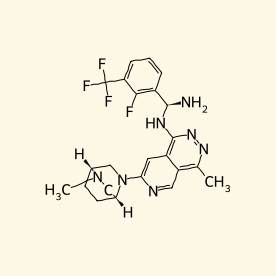 Cc1nnc(N[C@H](N)c2cccc(C(F)(F)F)c2F)c2cc(N3C[C@H]4CC[C@@H]3CN4C)ncc12